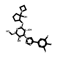 OC[C@H]1O[C@@H](S[C]2CCCC2(O)N2CCC2)[C@H](O)[C@@H](n2cc(-c3cc(F)c(F)c(F)c3)nn2)[C@H]1O